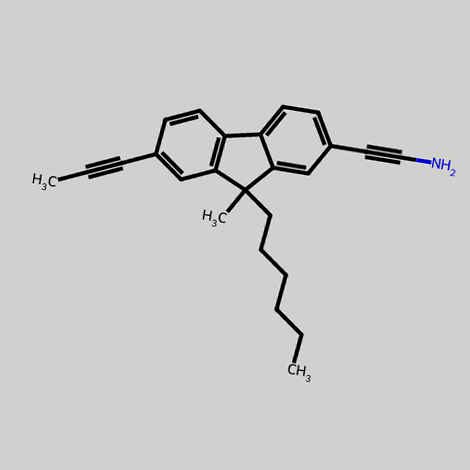 CC#Cc1ccc2c(c1)C(C)(CCCCCC)c1cc(C#CN)ccc1-2